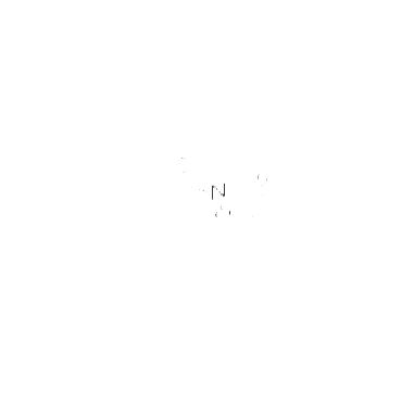 CCCC(=O)N(C=O)OC(=O)C(C)C